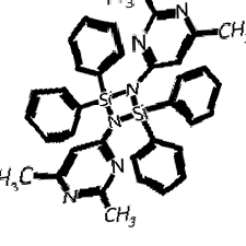 Cc1cc(N2[Si](c3ccccc3)(c3ccccc3)N(c3cc(C)nc(C)n3)[Si]2(c2ccccc2)c2ccccc2)nc(C)n1